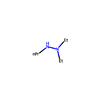 [CH2]CCNN(CC)CC